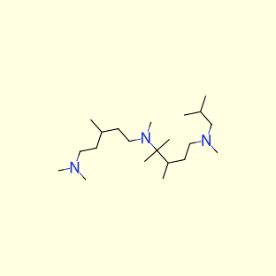 CC(C)CN(C)CCC(C)C(C)(C)N(C)CCC(C)CCN(C)C